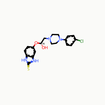 O[C@@H](CN1CCN(c2ccc(Cl)cc2)CC1)Oc1ccc2[nH]c(=S)[nH]c2c1